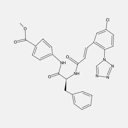 COC(=O)c1ccc(NC(=O)[C@H](Cc2ccccc2)NC(=O)C=Cc2cc(Cl)ccc2-n2cnnn2)cc1